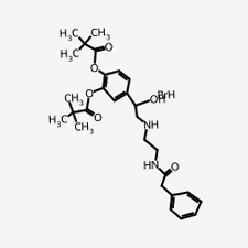 Br.CC(C)(C)C(=O)Oc1ccc(C(O)CNCCNC(=O)Cc2ccccc2)cc1OC(=O)C(C)(C)C